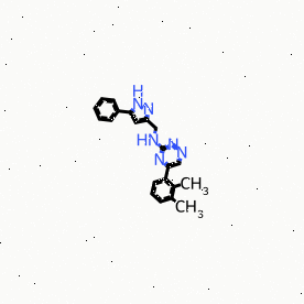 Cc1cccc(-c2cnnc(NCc3cc(-c4ccccc4)[nH]n3)n2)c1C